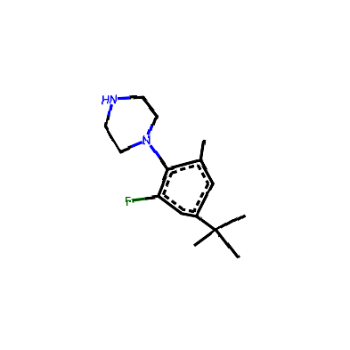 Cc1cc(C(C)(C)C)cc(F)c1N1CCNCC1